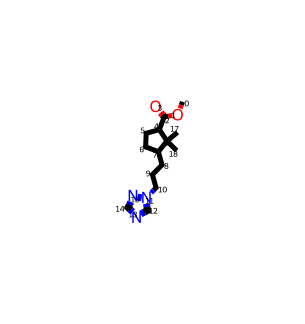 COC(=O)C1CCC(CCCn2cncn2)C1(C)C